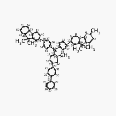 CC1C=CC2=C(C1)c1ccc(-c3ccc(N(C4=CC=C(c5ccc(-c6c#cccc6)cc5)CC4C)c4ccc(-c5ccc6c(c5)C(C)(C)c5ccccc5-6)cc4)cc3)cc1C2(C)C